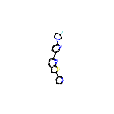 F[C@H]1CCN(c2ccc(-c3ccc4cc(-c5cccnc5)sc4n3)cn2)C1